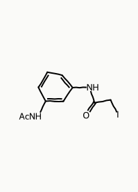 CC(=O)Nc1cccc(NC(=O)CI)c1